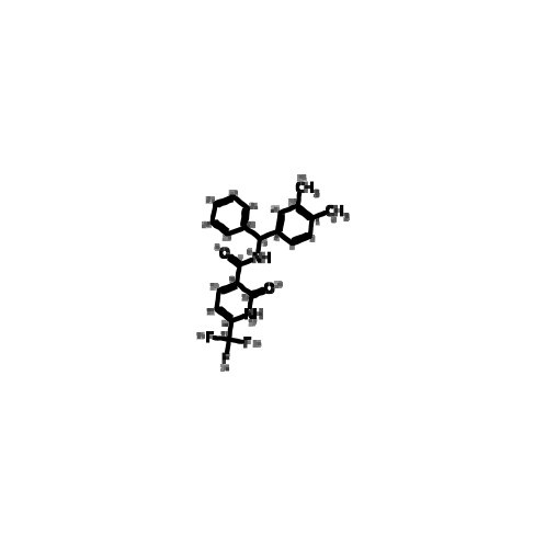 Cc1ccc(C(NC(=O)c2ccc(C(F)(F)F)[nH]c2=O)c2ccccc2)cc1C